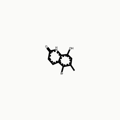 Cc1cc(O)c2[nH]c(=O)ccc2c1Br